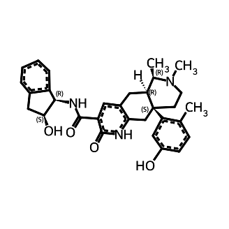 Cc1ccc(O)cc1[C@]12CCN(C)[C@H](C)[C@@H]1Cc1cc(C(=O)N[C@@H]3c4ccccc4C[C@@H]3O)c(=O)[nH]c1C2